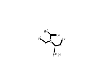 CC(C)C[C@@H](C(=O)O)N(CC(C)C)C(=O)C(C)C